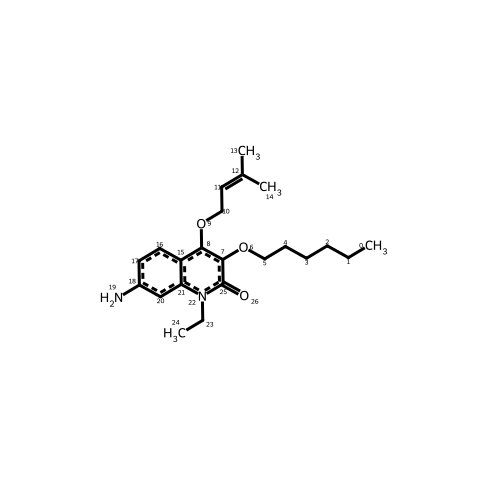 CCCCCCOc1c(OCC=C(C)C)c2ccc(N)cc2n(CC)c1=O